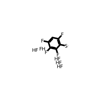 F.F.F.F.F.Fc1cc(F)c([S])c(F)c1F